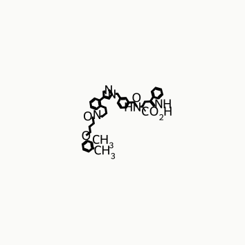 Cc1cccc(OCCCC(=O)N2CCCc3c(-c4cnn(Cc5cccc(C(=O)N[C@@H](Cc6c[nH]c7ccccc67)C(=O)O)c5)c4)cccc32)c1C